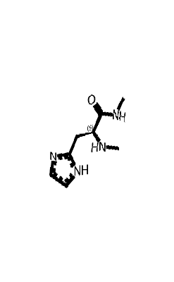 CNC(=O)[C@H](Cc1ncc[nH]1)NC